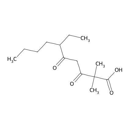 CCCCC(CC)C(=O)CC(=O)C(C)(C)C(=O)O